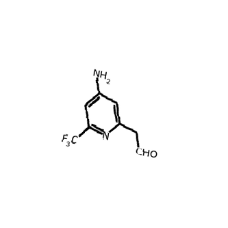 Nc1cc(CC=O)nc(C(F)(F)F)c1